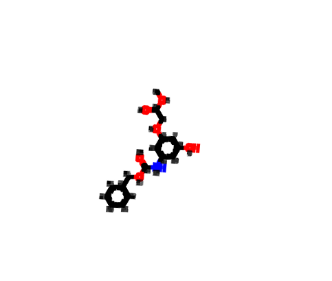 COC(=O)COc1cc(O)cc(NC(=O)OCc2ccccc2)c1